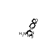 Nc1cc(N2CCC3(CCOC3)CC2)nc(F)n1